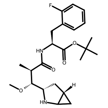 CO[C@@H]([C@@H]1C[C@@H]2CC2N1)[C@@H](C)C(=O)N[C@@H](Cc1ccccc1F)C(=O)OC(C)(C)C